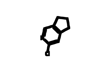 Clc1cc2c(cn1)CCC2